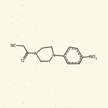 N#CCC(=O)N1CCN(c2ccc([N+](=O)[O-])cc2)CC1